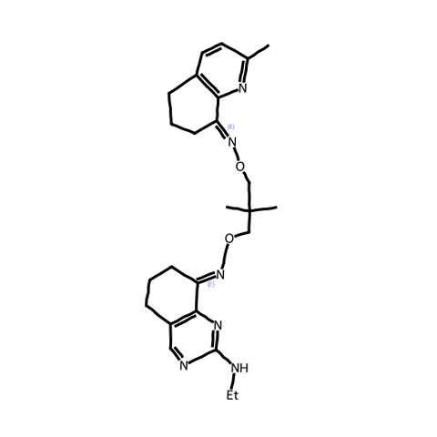 CCNc1ncc2c(n1)/C(=N/OCC(C)(C)CO/N=C1\CCCc3ccc(C)nc31)CCC2